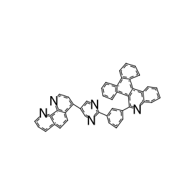 c1cc(-c2ncc(-c3ccnc4c3ccc3cccnc34)cn2)cc(-c2nc3ccccc3c3c4ccccc4c4ccccc4c23)c1